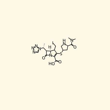 C[C@H](C1C(=O)N2C(C(=O)O)=C(SC3CNC(C(=O)N(C)C)C3)C(CI)[C@H]12)n1cnnn1